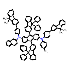 Cc1ccc(N(c2ccc(-c3ccc4c(c3)C(C)(C)c3ccccc3-4)cc2)c2ccc3c(-c4ccc5c(c4)C(c4ccccc4)(c4ccccc4)c4ccccc4-5)c4cc(N(c5ccc(-c6ccc7c(c6)C(C)(C)c6ccccc6-7)cc5)c5ccc6ccccc6c5)ccc4c(-c4ccc5c(c4)C(c4ccccc4)(c4ccccc4)c4ccccc4-5)c3c2)cc1